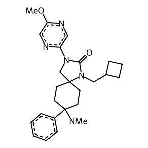 CNC1(c2ccccc2)CCC2(CC1)CN(c1cnc(OC)cn1)C(=O)N2CC1CCC1